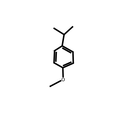 COc1c[c]c(C(C)C)cc1